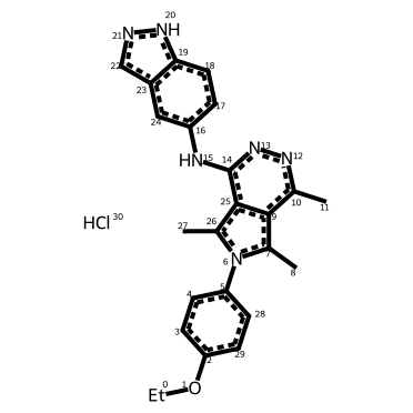 CCOc1ccc(-n2c(C)c3c(C)nnc(Nc4ccc5[nH]ncc5c4)c3c2C)cc1.Cl